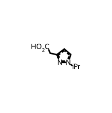 CC(C)n1ccc(CC(=O)O)n1